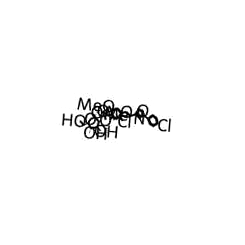 COc1cc(OCc2coc(-c3ccc(Cl)cc3)n2)c(Cl)cc1C(=O)O[C@H]1[C@@H](OC)O[C@H](CO)[C@@H](O)[C@@H]1O